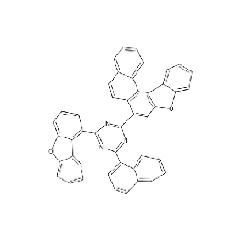 c1ccc2c(-c3nc(-c4cc5oc6ccccc6c5c5c4ccc4ccccc45)nc(-c4cccc5oc6ccccc6c45)n3)cccc2c1